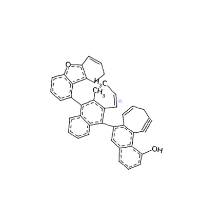 C/C=C\c1c(C)c(-c2cccc3oc4c(c23)CCC=C4)c2ccccc2c1-c1cc2cccc(O)c2c2c1C=CCC#C2